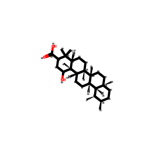 C[C@@H]1[C@H]2[C@H]3CC[C@@H]4[C@@]5(C)C(O)CC(C(=O)O)C(C)(C)[C@@H]5CC[C@@]4(C)[C@]3(C)CC[C@@]2(C)CC[C@H]1C